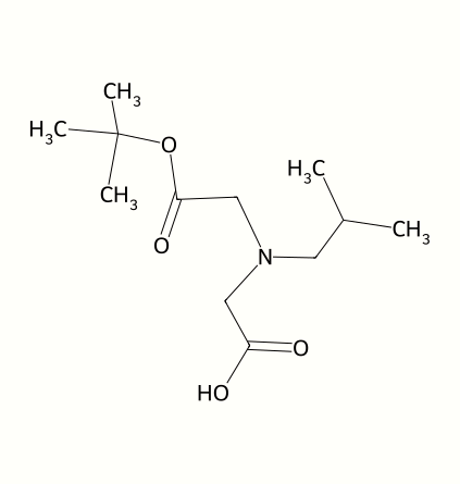 CC(C)CN(CC(=O)O)CC(=O)OC(C)(C)C